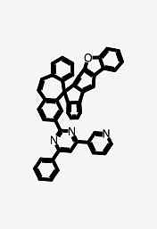 C1=Cc2ccc(-c3nc(-c4ccccc4)cc(-c4cccnc4)n3)cc2C2(c3ccccc31)c1ccccc1-c1cc3c(cc12)oc1ccccc13